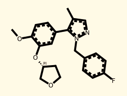 COc1ccc(-c2c(C)cnn2Cc2ccc(F)cc2)cc1O[C@@H]1CCOC1